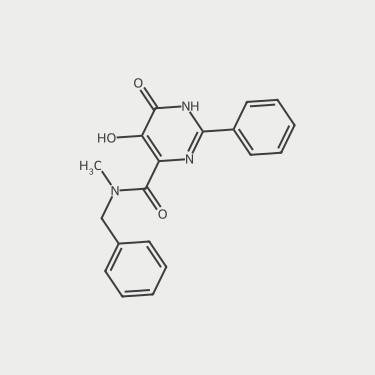 CN(Cc1ccccc1)C(=O)c1nc(-c2ccccc2)[nH]c(=O)c1O